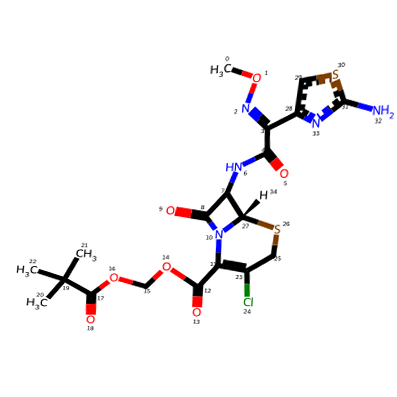 CON=C(C(=O)NC1C(=O)N2C(C(=O)OCOC(=O)C(C)(C)C)=C(Cl)CS[C@@H]12)c1csc(N)n1